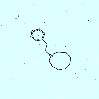 c1ccc(CCN2CCCCCCCC2)cc1